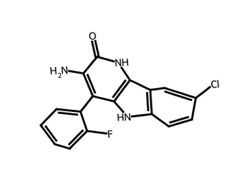 Nc1c(-c2ccccc2F)c2[nH]c3ccc(Cl)cc3c2[nH]c1=O